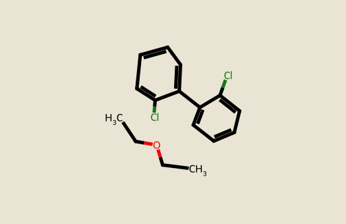 CCOCC.Clc1ccccc1-c1ccccc1Cl